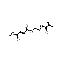 C=C(C)C(=O)OCCOC(=O)/C=C/C(=O)OC